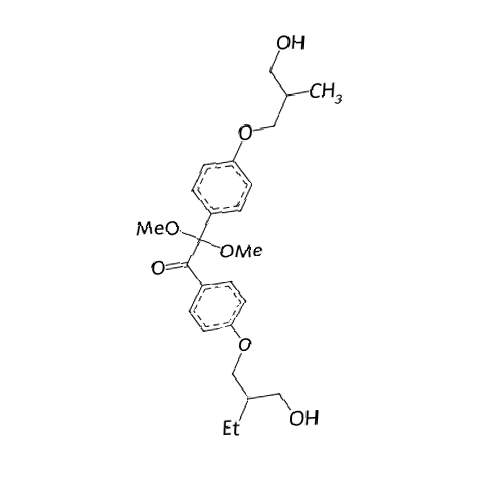 CCC(CO)COc1ccc(C(=O)C(OC)(OC)c2ccc(OCC(C)CO)cc2)cc1